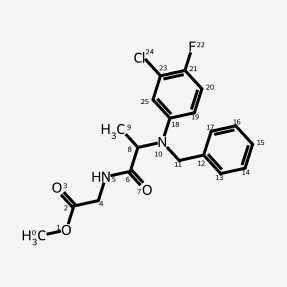 COC(=O)CNC(=O)C(C)N(Cc1ccccc1)c1ccc(F)c(Cl)c1